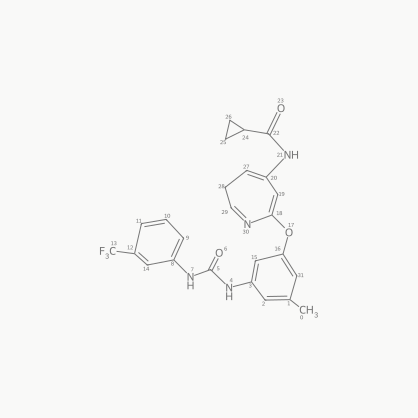 Cc1cc(NC(=O)Nc2cccc(C(F)(F)F)c2)cc(OC2=CC(NC(=O)C3CC3)=CCC=N2)c1